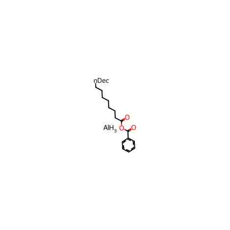 CCCCCCCCCCCCCCCCCC(=O)OC(=O)c1ccccc1.[AlH3]